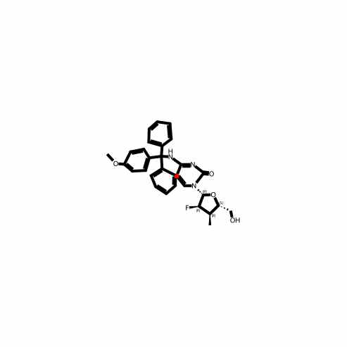 COc1ccc(C(Nc2ccn([C@@H]3O[C@H](CO)[C@@H](C)[C@H]3F)c(=O)n2)(c2ccccc2)c2ccccc2)cc1